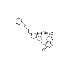 COc1ccc2ncc(Cl)c(CCCC3(C(=O)NO)CCN(CCCSc4ccccc4)CC3)c2c1